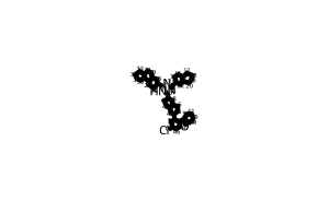 Clc1cc(-c2ccc3cc(C4N=C(c5ccc6ccccc6c5)N=C(c5ccc6c(ccc7ccccc76)c5)N4)ccc3c2)c2c(c1)oc1ccccc12